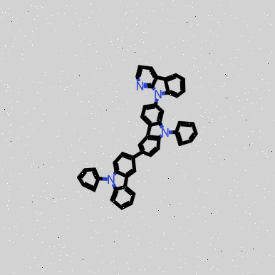 c1ccc(-n2c3ccccc3c3cc(-c4ccc5c(c4)c4ccc(-n6c7ccccc7c7cccnc76)cc4n5-c4ccccc4)ccc32)cc1